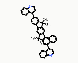 CC1(C)c2cc(-c3ccnc4ccccc34)ccc2-c2cc3c(cc21)-c1c(cc(-c2ccnc4ccccc24)c2ccccc12)C3(C)C